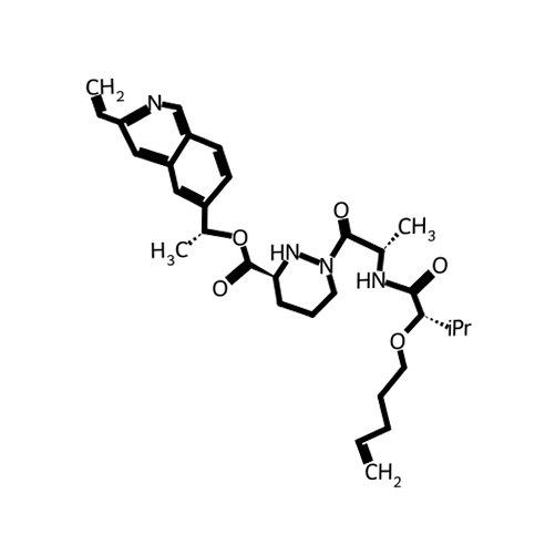 C=CCCCO[C@H](C(=O)N[C@@H](C)C(=O)N1CCC[C@@H](C(=O)O[C@H](C)c2ccc3cnc(C=C)cc3c2)N1)C(C)C